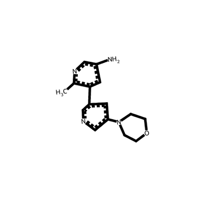 Cc1ncc(N)cc1-c1cncc(N2CCOCC2)c1